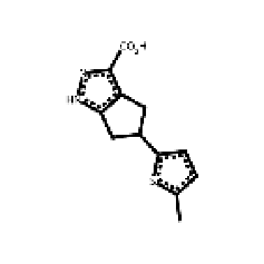 Cc1ccc(C2Cc3[nH]nc(C(=O)O)c3C2)s1